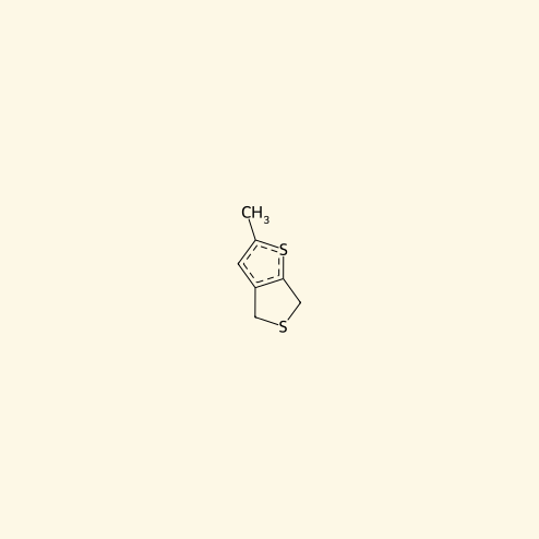 Cc1cc2c(s1)CSC2